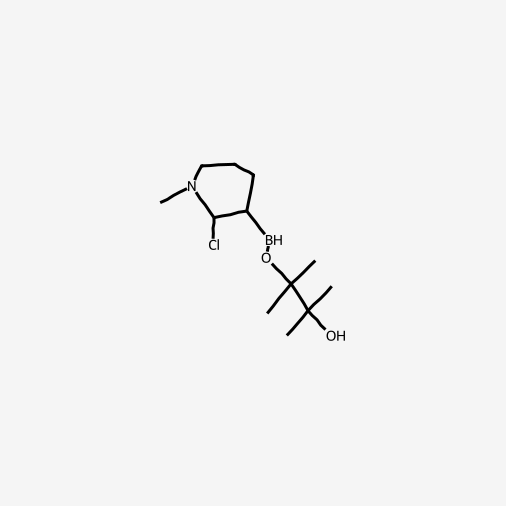 CN1CCCC(BOC(C)(C)C(C)(C)O)C1Cl